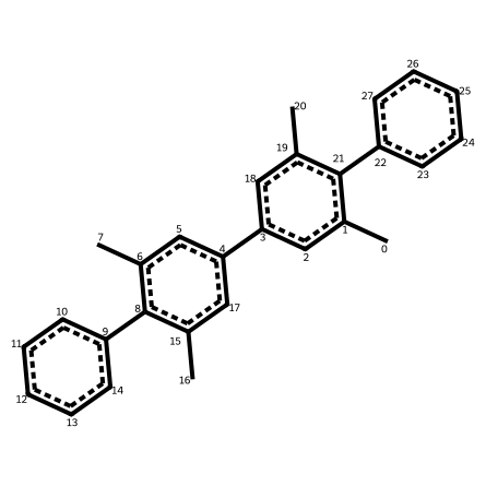 Cc1cc(-c2cc(C)c(-c3ccccc3)c(C)c2)cc(C)c1-c1ccccc1